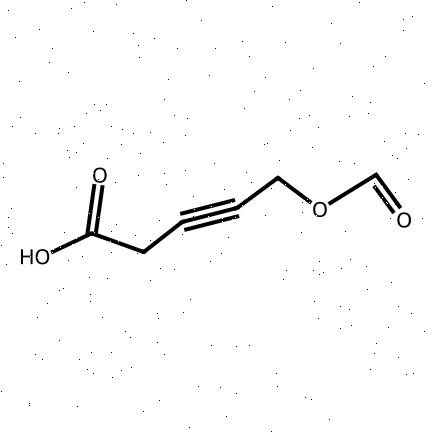 O=COCC#CCC(=O)O